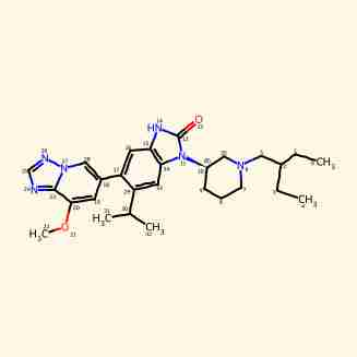 CCC(CC)CN1CCC[C@@H](n2c(=O)[nH]c3cc(-c4cc(OC)c5ncnn5c4)c(C(C)C)cc32)C1